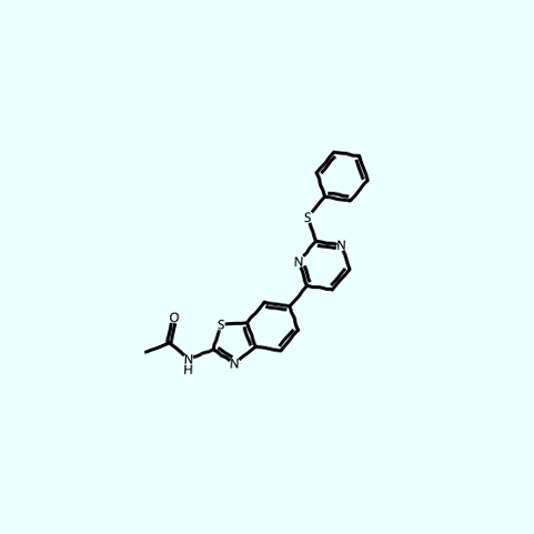 CC(=O)Nc1nc2ccc(-c3ccnc(Sc4ccccc4)n3)cc2s1